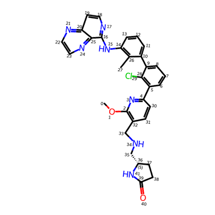 COc1nc(-c2cccc(-c3cccc(Nc4nccc5nccnc45)c3C)c2Cl)ccc1CNC[C@@H]1CCC(=O)N1